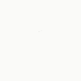 CCCCOOCC(C)C(=O)O